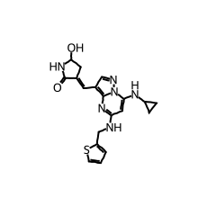 O=C1NC(O)C/C1=C\c1cnn2c(NC3CC3)cc(NCc3cccs3)nc12